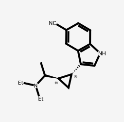 CCN(CC)C(C)[C@@H]1C[C@H]1c1c[nH]c2ccc(C#N)cc12